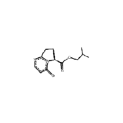 CC(C)COC(=O)[C@@H]1CCc2nccc(=O)n21